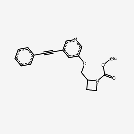 CC(C)(C)OC(=O)N1CCC1COc1cncc(C#Cc2ccccc2)c1